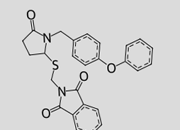 O=C1c2ccccc2C(=O)N1CSC1CCC(=O)N1Cc1ccc(Oc2ccccc2)cc1